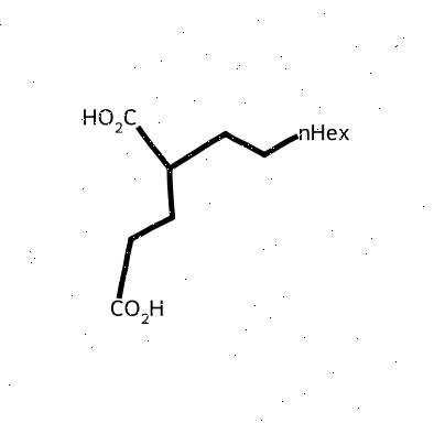 CCCCCCCCC(CCC(=O)O)C(=O)O